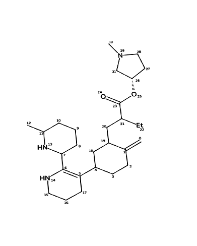 C=C1CCC(C2=C(C3CCCC(C)N3)NCCC2)CC1CC(CC)C(=O)O[C@H]1CCN(C)C1